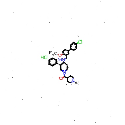 CC(=O)N1CCC(C(=O)N2CC[C@H](NCc3cc(-c4ccc(Cl)cc4)ccc3OC(F)(F)F)[C@H](c3ccccc3)C2)CC1.Cl